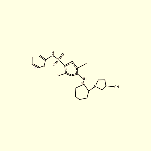 C=C(NS(=O)(=O)c1cc(C)c(N[C@H]2CCCCC2N2CCC(C#N)C2)cc1F)S/C=C\C